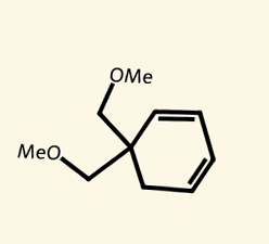 COCC1(COC)C=CC=CC1